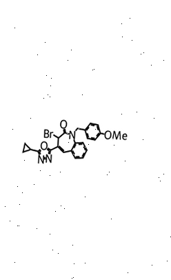 COc1ccc(CN2C(=O)C(Br)C(c3nnc(C4CC4)o3)=Cc3ccccc32)cc1